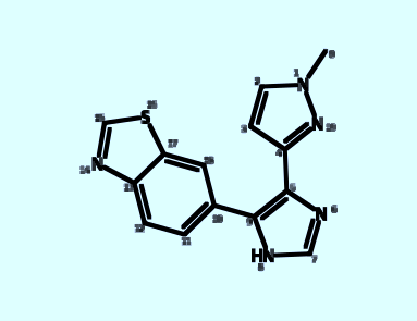 Cn1ccc(-c2nc[nH]c2-c2ccc3ncsc3c2)n1